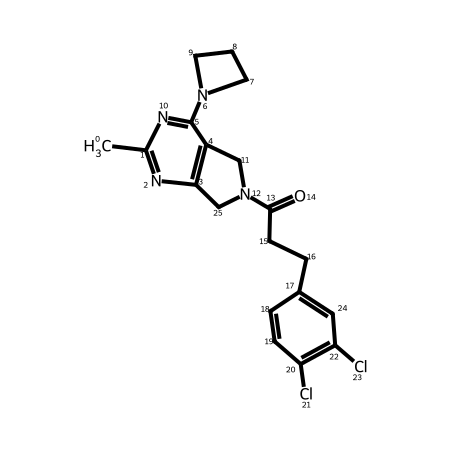 Cc1nc2c(c(N3CCC3)n1)CN(C(=O)CCc1ccc(Cl)c(Cl)c1)C2